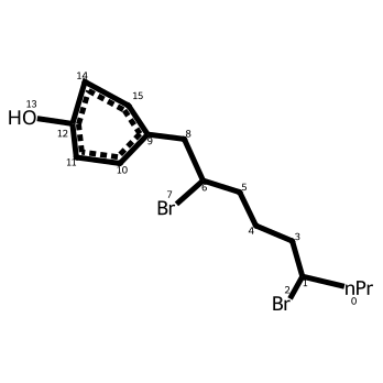 CCCC(Br)CCCC(Br)Cc1ccc(O)cc1